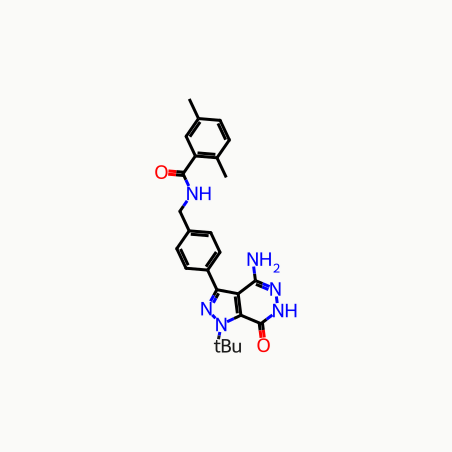 Cc1ccc(C)c(C(=O)NCc2ccc(-c3nn(C(C)(C)C)c4c(=O)[nH]nc(N)c34)cc2)c1